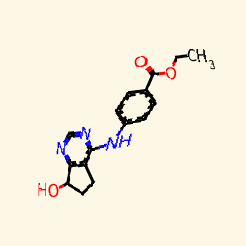 CCOC(=O)c1ccc(Nc2ncnc3c2CCC3O)cc1